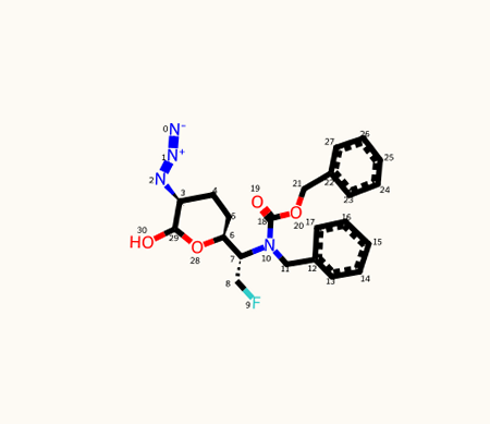 [N-]=[N+]=N[C@H]1CC[C@@H]([C@@H](CF)N(Cc2ccccc2)C(=O)OCc2ccccc2)OC1O